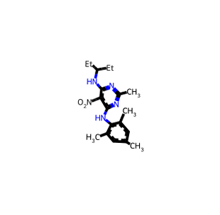 CCC(CC)Nc1nc(C)nc(Nc2c(C)cc(C)cc2C)c1[N+](=O)[O-]